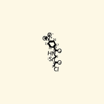 O=[C](CCl)[Sn][CH2]NC(=O)c1ccc([N+](=O)[O-])cc1